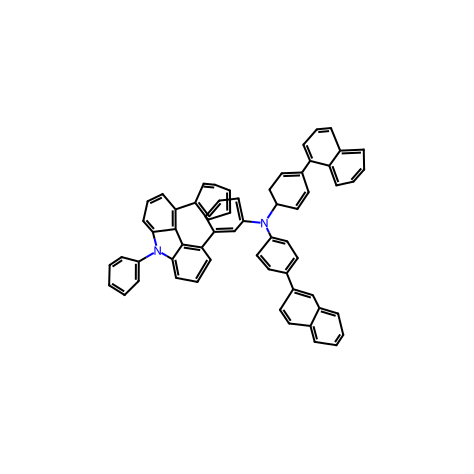 C1=CC(N(c2ccc(-c3ccc4ccccc4c3)cc2)c2cccc(-c3cccc4c3c3c(-c5ccccc5)cccc3n4-c3ccccc3)c2)CC=C1c1cccc2ccccc12